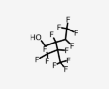 OCC(F)(C(F)C(F)(F)F)C(F)(C(F)(F)F)C(F)(F)F